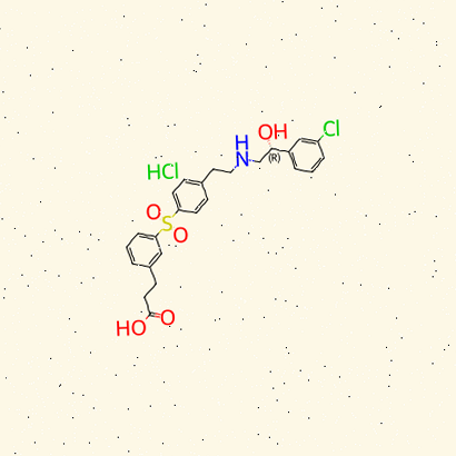 Cl.O=C(O)CCc1cccc(S(=O)(=O)c2ccc(CCNC[C@H](O)c3cccc(Cl)c3)cc2)c1